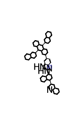 N=C1C=C(c2ccc3c(-c4ccc5ccccc5c4)c4ccccc4c(-c4ccc5ccccc5c4)c3c2)C=C/C1=N/Nc1ccc(-c2cnc3ccccc3c2)c2ccccc12